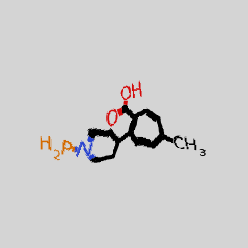 CC1C=CC(C(=O)O)=C(C2CCN(P)CC2)C=C1